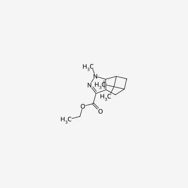 CCOC(=O)c1nn(C)c2c1CC1CC2C1(C)C